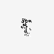 CC(=O)Nc1cccc(C(C)NC(=O)c2nc(-c3cc(C)nc(Cl)c3)c(-c3ccn(C)n3)nc2N)n1